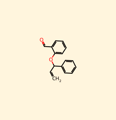 C=CC(Oc1ccccc1C=O)c1ccccc1